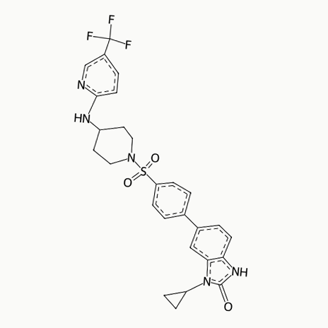 O=c1[nH]c2ccc(-c3ccc(S(=O)(=O)N4CCC(Nc5ccc(C(F)(F)F)cn5)CC4)cc3)cc2n1C1CC1